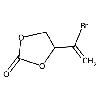 C=C(Br)C1COC(=O)O1